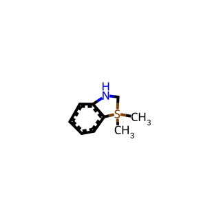 CS1(C)CNc2ccccc21